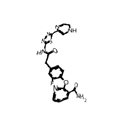 NC(=O)c1cccnc1Oc1ccc(CC(=O)Nc2nnc(C3=CNCC=N3)s2)cc1F